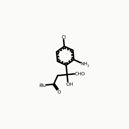 CCC(C)C(=O)CC(O)(C=O)c1ccc(Cl)cc1N